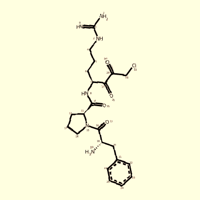 N=C(N)NCCC[C@H](NC(=O)[C@@H]1CCCN1C(=O)[C@@H](N)Cc1ccccc1)C(=O)C(=O)CCl